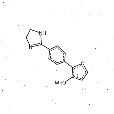 COc1ccoc1-c1ccc(C2=NCCN2)cc1